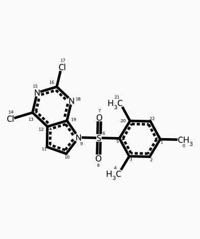 Cc1cc(C)c(S(=O)(=O)n2ccc3c(Cl)nc(Cl)nc32)c(C)c1